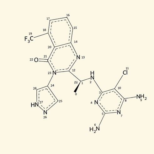 C[C@H](Nc1nc(N)nc(N)c1Cl)c1nc2cccc(C(F)(F)F)c2c(=O)n1-c1cn[nH]c1